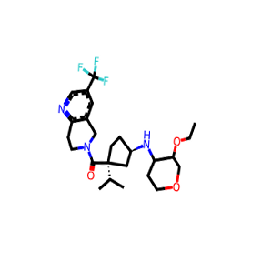 CCOC1COCCC1N[C@@H]1CC[C@@](C(=O)N2CCc3ncc(C(F)(F)F)cc3C2)(C(C)C)C1